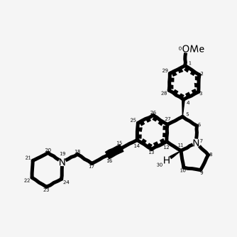 COc1ccc([C@H]2CN3CCC[C@@H]3c3cc(C#CCCN4CCCCC4)ccc32)cc1